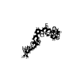 COc1nc(-c2cccc(-c3ccn4c(=O)c(CNC[C@@H](O)CC(=O)N(C)C)cnc4c3)c2Cl)cc(F)c1CN(C[C@@H]1CCC(=O)N1)C(=O)OC(C)(C)C